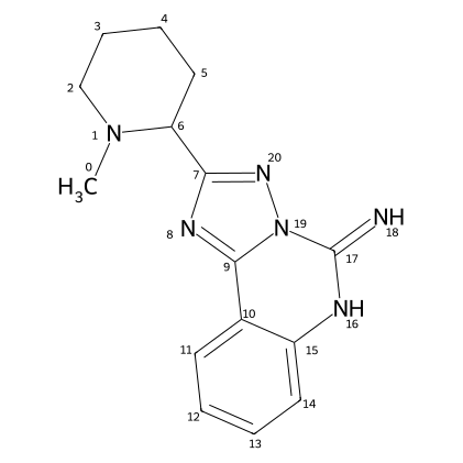 CN1CCCCC1c1nc2c3ccccc3[nH]c(=N)n2n1